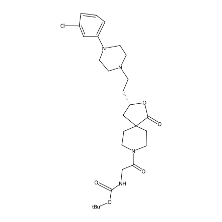 CC(C)(C)OC(=O)NCC(=O)N1CCC2(CC1)C[C@H](CCN1CCN(c3cccc(Cl)c3)CC1)OC2=O